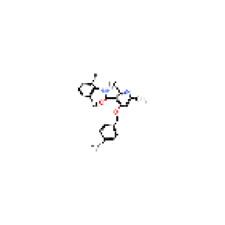 CCc1cccc(CC)c1NC(=O)c1c(OCc2ccc(C)cc2)cc(C)nc1C